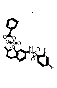 CC1CCc2ccc(NS(=O)(=O)c3ccc(F)cc3F)cc2N1S(=O)(=O)OC(=O)c1ccccc1